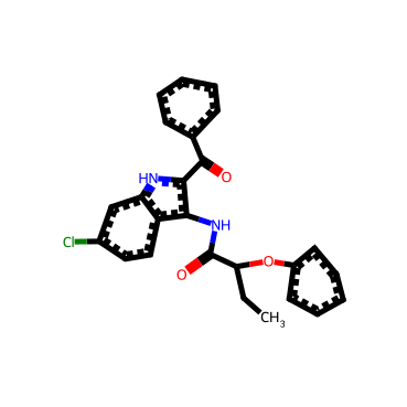 CCC(Oc1ccccc1)C(=O)Nc1c(C(=O)c2ccccc2)[nH]c2cc(Cl)ccc12